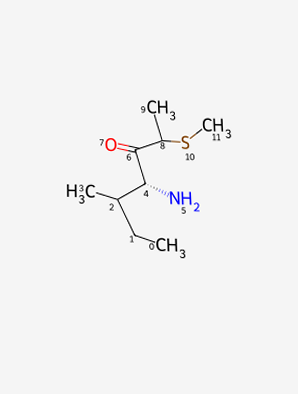 CCC(C)[C@@H](N)C(=O)C(C)SC